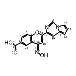 O=C(O)c1ccc2oc(-c3cc4cccn4cn3)c/c(=N\O)c2c1